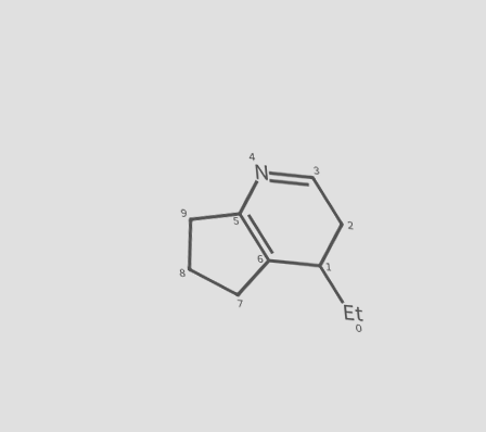 CCC1CC=NC2=C1CCC2